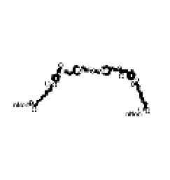 CCCCCCCCCOC(=O)CCCCCCCC(=O)Oc1ccc(CC(=O)OCCC2CCN(CCSSCCN3CCC(CCOC(=O)Cc4ccc(OC(=O)CCCCCCCC(=O)OCCCCCCCCC)cc4)CC3)CC2)cc1